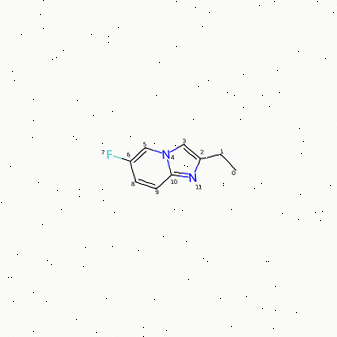 CCc1cn2cc(F)ccc2n1